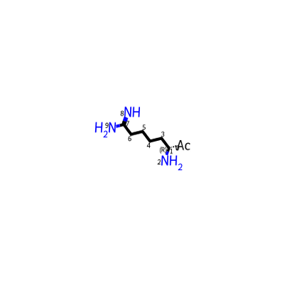 CC(=O)[C@H](N)CCCCC(=N)N